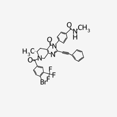 CNC(=O)c1ccc(-n2c(C#Cc3ccccc3)nc3c(c2=O)C[C@@H](C)N(C(=O)c2ccc(Br)c(C(F)(F)F)c2)C3)cc1